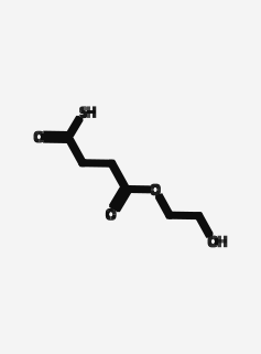 O=C(S)CCC(=O)OCCO